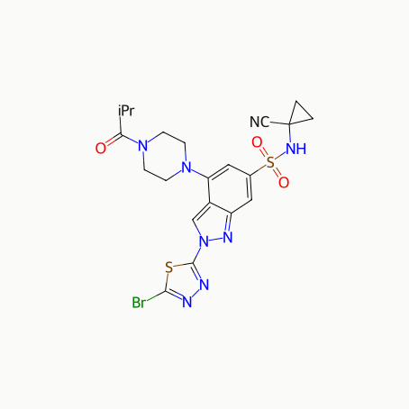 CC(C)C(=O)N1CCN(c2cc(S(=O)(=O)NC3(C#N)CC3)cc3nn(-c4nnc(Br)s4)cc23)CC1